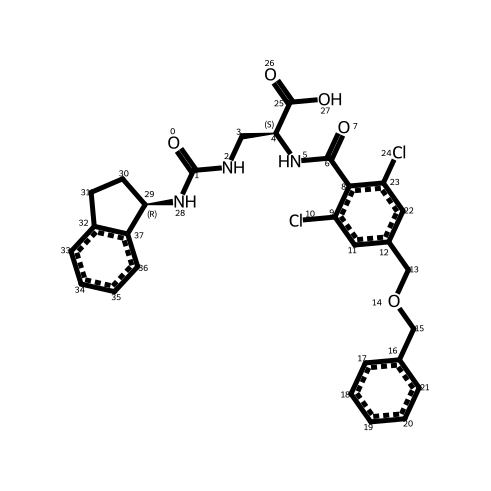 O=C(NC[C@H](NC(=O)c1c(Cl)cc(COCc2ccccc2)cc1Cl)C(=O)O)N[C@@H]1CCc2ccccc21